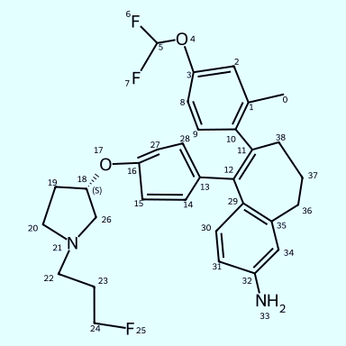 Cc1cc(OC(F)F)ccc1C1=C(c2ccc(O[C@H]3CCN(CCCF)C3)cc2)c2ccc(N)cc2CCC1